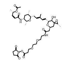 CC(=O)O[C@@H](C)/C=C\C(=O)N[C@@H]1C[C@H](C)[C@H](C/C=C(C)/C=C/[C@H]2O[C@H](CC(=O)NCCOCCOCCC(=O)ON3C(=O)CCC3=O)CC3(O[C@@H]3C)[C@@H]2O)O[C@@H]1C